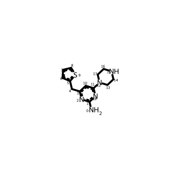 Nc1nc(Cc2cccs2)cc(N2CCNCC2)n1